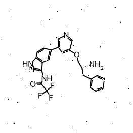 N[C@@H](COc1cncc(-c2ccc3[nH]nc(NC(=O)C(F)(F)F)c3c2)c1)Cc1ccccc1